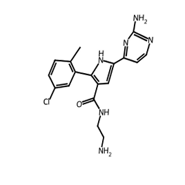 Cc1ccc(Cl)cc1-c1[nH]c(-c2ccnc(N)n2)cc1C(=O)NCCN